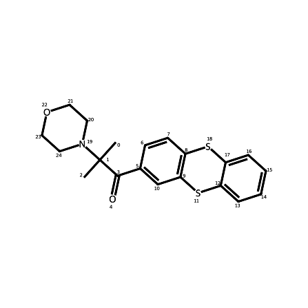 CC(C)(C(=O)c1ccc2c(c1)Sc1ccccc1S2)N1CCOCC1